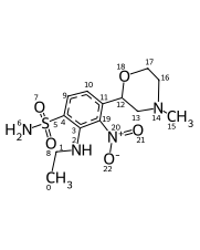 CCNc1c(S(N)(=O)=O)ccc(C2CN(C)CCO2)c1[N+](=O)[O-]